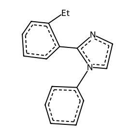 CCc1ccccc1-c1nccn1-c1ccccc1